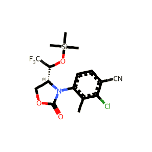 Cc1c(N2C(=O)OC[C@@H]2C(O[Si](C)(C)C)C(F)(F)F)ccc(C#N)c1Cl